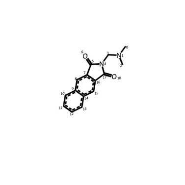 CN(C)CN1C(=O)c2cc3ccccc3cc2C1=O